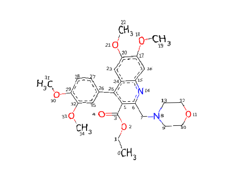 CCOC(=O)c1c(CN2CCOCC2)nc2cc(OC)c(OC)cc2c1-c1ccc(OC)c(OC)c1